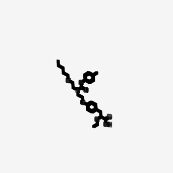 CCCCCOCCN(CCOc1ccc(CC(OCC)C(=O)O)cc1)C(=O)Oc1ccc(C)cc1